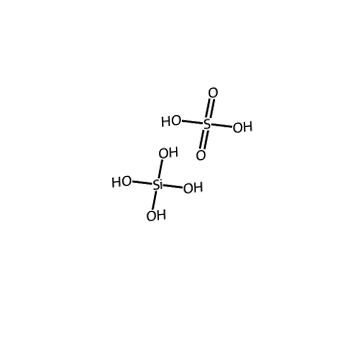 O=S(=O)(O)O.O[Si](O)(O)O